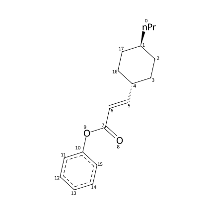 CCC[C@H]1CC[C@H](C=CC(=O)Oc2ccccc2)CC1